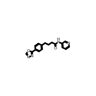 O=C(CCCc1ccc(-c2nnco2)cc1)Nc1cccnc1